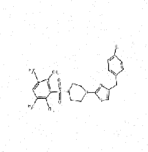 CCc1ccc(Cc2csc(N3CCN(S(=O)(=O)c4c(C)c(C)cc(C)c4C)CC3)n2)cc1